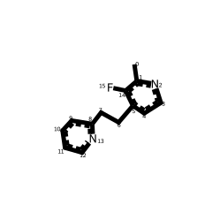 Cc1nccc(CCc2ccccn2)c1F